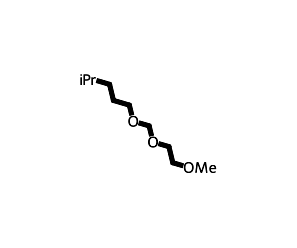 COCCOCOCCCC(C)C